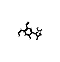 C=Cc1cc(C2C(C)C[PH]2(C)C)c(C)cc1/C=C\C